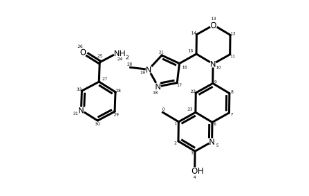 Cc1cc(O)nc2ccc(N3CCOCC3c3cnn(C)c3)cc12.NC(=O)c1cccnc1